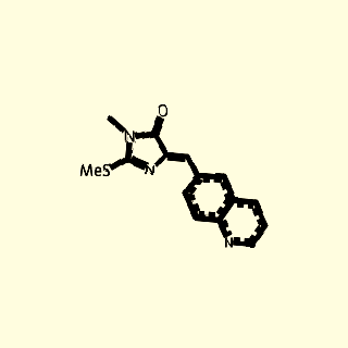 CSC1=N/C(=C\c2ccc3ncccc3c2)C(=O)N1C